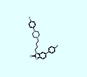 O=c1oc2ccc(-c3ccc(F)cc3)cc2n1CCCCN1CCN(c2ccc(F)cc2)CC1